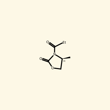 CCC(=O)N1C(=O)OC[C@@H]1C